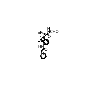 CCCN(C(=O)NC=O)c1nn(C)c2c(NC(=O)CN3CCCCC3)cccc12